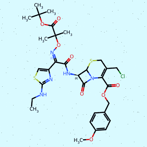 CCNc1nc(/C(=N/OC(C)(C)C(=O)OC(C)(C)C)C(=O)N[C@@H]2C(=O)N3C(C(=O)OCc4ccc(OC)cc4)=C(CCl)CSC23)cs1